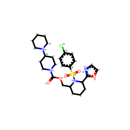 O=C(OCC1CCCC(c2ncco2)N1S(=O)(=O)c1ccc(Cl)cc1)N1CCC(N2CCCCC2)CC1